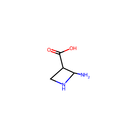 NC1NCC1C(=O)O